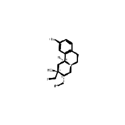 CCCCc1ccc2c(c1)[C@@H]1C[C@@](O)(CF)[C@@H](CC(C)C)CN1CC2